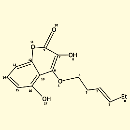 CCC=CCCOc1c(O)c(=O)oc2cccc(O)c12